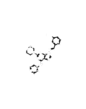 FC(F)(F)c1cccc(/C=N/n2cnc3c(Nc4ccncc4)nc(N4CCOCC4)nc32)c1